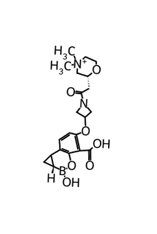 C[N+]1(C)CCO[C@H](CC(=O)N2CC(Oc3ccc4c(c3C(=O)O)OB(O)[C@@H]3CC43)C2)C1